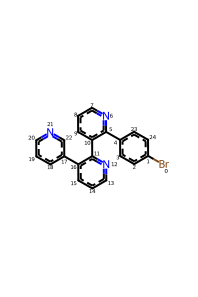 Brc1ccc(-c2ncccc2-c2ncccc2-c2cccnc2)cc1